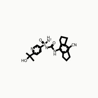 CC(C)(O)c1ccc(S(N)(=O)=NC(=O)Nc2c3c(c(C#N)c4c2CCC4)CCC3)cn1